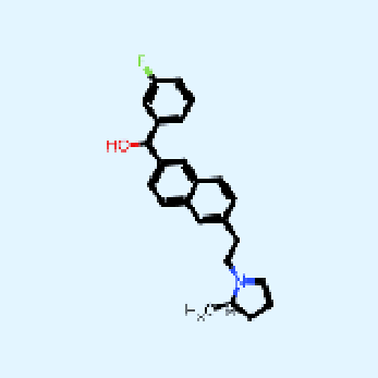 C[C@@H]1CCCN1CCc1ccc2cc(C(O)c3cccc(F)c3)ccc2c1